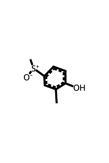 Cc1cc([S+](C)[O-])ccc1O